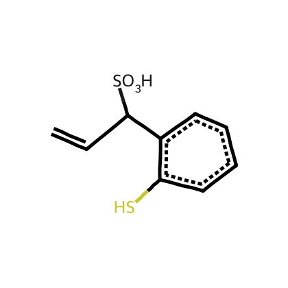 C=CC(c1ccccc1S)S(=O)(=O)O